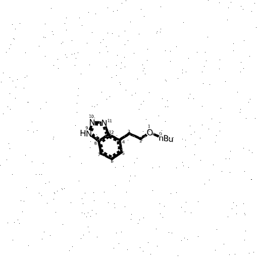 CCCCOCCc1cccc2[nH]nnc12